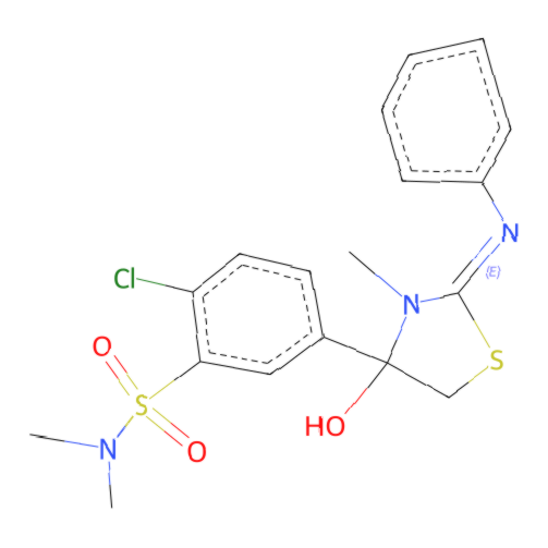 CN1/C(=N\c2ccccc2)SCC1(O)c1ccc(Cl)c(S(=O)(=O)N(C)C)c1